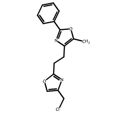 Cc1oc(-c2ccccc2)nc1CCc1nc(CCl)co1